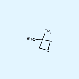 COC1(C)[CH]OC1